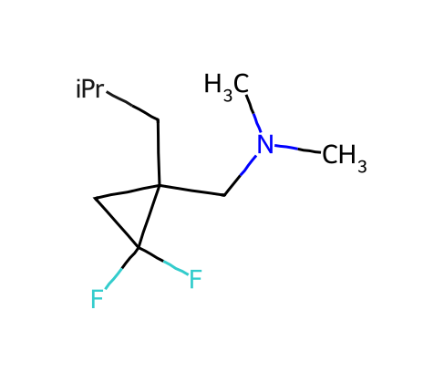 CC(C)CC1(CN(C)C)CC1(F)F